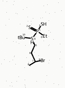 CCP(=S)(S)[SH](CCC(C)Br)C(C)(C)C